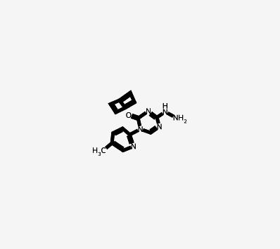 Cc1ccc(-n2cnc(NN)nc2=O)nc1.c1cc2ccc1-2